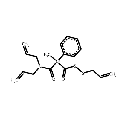 C=CCSSC(=O)[N+](C(=O)N(CC=C)CC=C)(c1ccccc1)C(F)(F)F